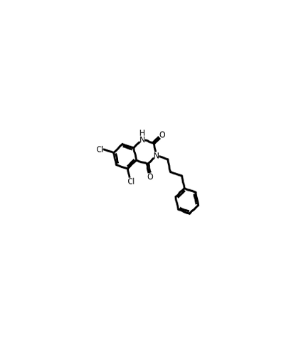 O=c1[nH]c2cc(Cl)cc(Cl)c2c(=O)n1CCCc1ccccc1